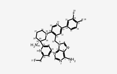 Nc1ncnc2c1ncn2Cc1cc(-c2ccc(F)c(F)c2)ncc1N1CCC[C@](N)(c2cccc(CF)n2)C1